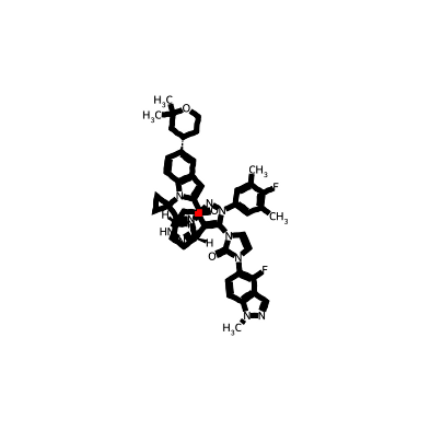 Cc1cc(-n2nc3c(c2-n2ccn(-c4ccc5c(cnn5C)c4F)c2=O)[C@@H]2CC[C@H](C3)N2C(=O)c2cc3cc([C@H]4CCOC(C)(C)C4)ccc3n2C2(c3nnn[nH]3)CC2)cc(C)c1F